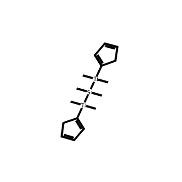 C[Si](C)([Ti]([CH3])([CH3])[C]1=CC=CC1)[Ti]([CH3])([CH3])[C]1=CC=CC1